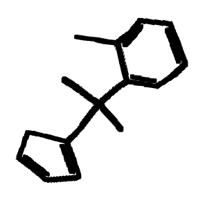 Cc1ccccc1C(C)(C)C1=CC=CC1